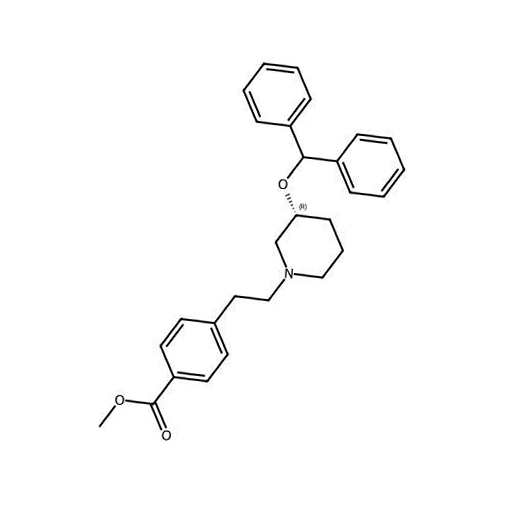 COC(=O)c1ccc(CCN2CCC[C@@H](OC(c3ccccc3)c3ccccc3)C2)cc1